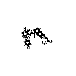 CC(C)CNCc1ccc2c(c1)CCC[C@H]2NC(=O)C[C@@H]1C(=O)NCCN1S(=O)(=O)c1ccc(Cl)cc1